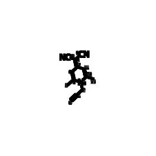 C#CCN1C(C)=CC(=C(C#N)C#N)C=C1C